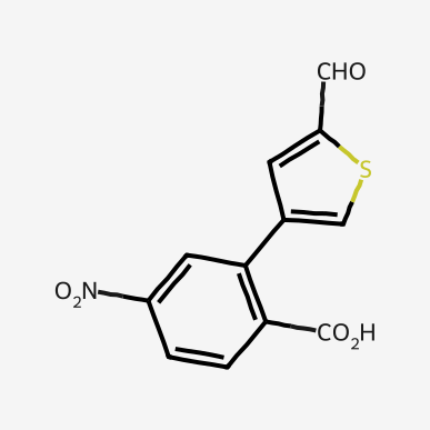 O=Cc1cc(-c2cc([N+](=O)[O-])ccc2C(=O)O)cs1